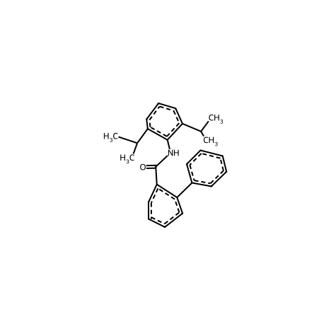 CC(C)c1cccc(C(C)C)c1NC(=O)c1ccccc1-c1ccccc1